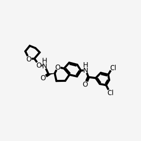 O=C(Nc1ccc2c(c1)CC[C@@H](C(=O)NOC1CCCCO1)O2)c1cc(Cl)cc(Cl)c1